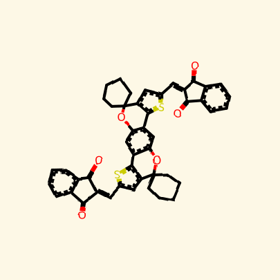 O=C1C(=Cc2cc3c(s2)-c2cc4c(cc2OC32CCCCC2)-c2sc(C=C3C(=O)c5ccccc5C3=O)cc2C2(CCCCC2)O4)C(=O)c2ccccc21